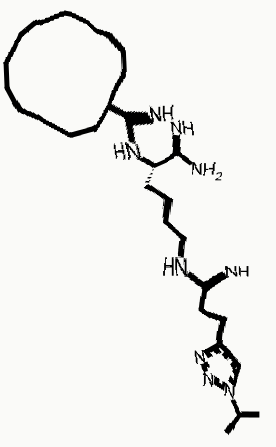 CC(C)n1cc(CCC(=N)NCCCC[C@H](NC(=N)C2CCCCCCCCCCCCC2)C(=N)N)nn1